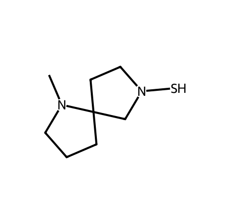 CN1CCCC12CCN(S)C2